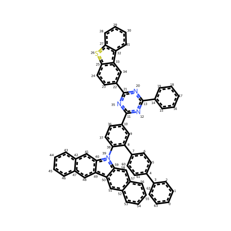 c1ccc(-c2ccc(-c3cc(-c4nc(-c5ccccc5)nc(-c5ccc6sc7ccccc7c6c5)n4)ccc3-n3c4cc5ccccc5cc4c4cc5ccccc5cc43)cc2)cc1